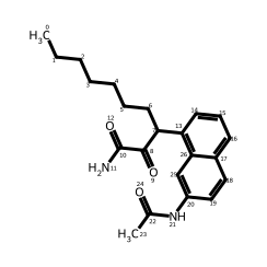 CCCCCCCC(C(=O)C(N)=O)c1cccc2ccc(NC(C)=O)cc12